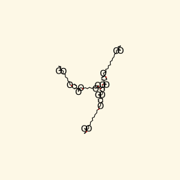 C=CC(=O)OCCCCCCCCCCCOc1ccc(C(=O)Oc2ccc(OC(=O)c3ccc(OCCCCCCCCCCCOC(=O)C=C)cc3)c(C(=O)OCCCCCCOC(=O)c3ccc(OCCCCCCOC(=O)C=C)cc3)c2)cc1